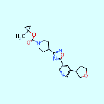 CC1(OC(=O)N2CCC(c3noc(-c4cncc(C5CCOC5)c4)n3)CC2)CC1